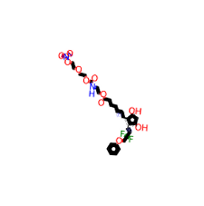 O=C(CCC/C=C/C[C@@H]1[C@@H](/C=C/C(F)(F)COc2ccccc2)[C@H](O)C[C@@H]1O)OCCNC(=O)OCCOCCO[N+](=O)[O-]